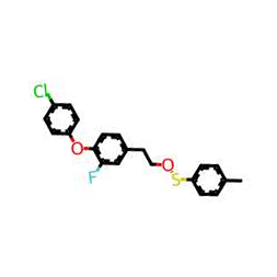 Cc1ccc(SOCCc2ccc(Oc3ccc(Cl)cc3)c(F)c2)cc1